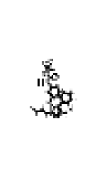 CCCCc1nc2cnc3ccccc3c2n1Cc1cccc(NC(=O)OC(C)(C)C)c1